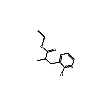 CCOC(=O)C(C)Cc1cccnc1Cl